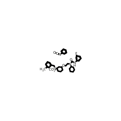 Cc1cccc(COC2CCCC(OCCN(C(=O)Nc3cccc(F)c3)C3CCCCC3)C2)c1C(=O)O.O=C=Nc1ccccc1